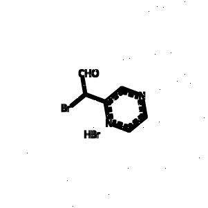 Br.O=CC(Br)c1cnccn1